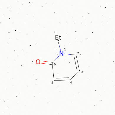 [CH2]Cn1ccccc1=O